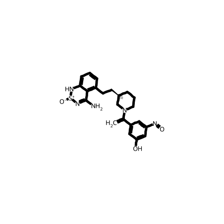 C=C(c1cc(O)cc(N=O)c1)N1CCC[C@H](CCc2cccc3c2C(N)=N[S+]([O-])N3)C1